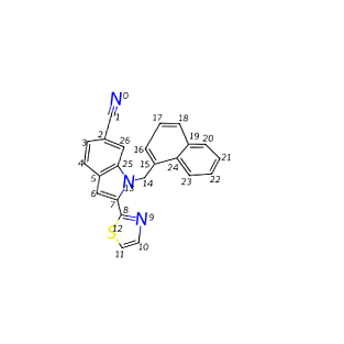 N#Cc1ccc2cc(-c3nccs3)n(Cc3cccc4ccccc34)c2c1